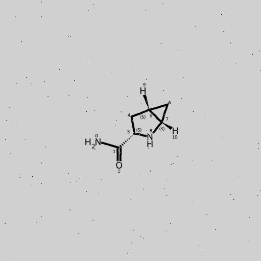 NC(=O)[C@@H]1C[C@@H]2C[C@@H]2N1